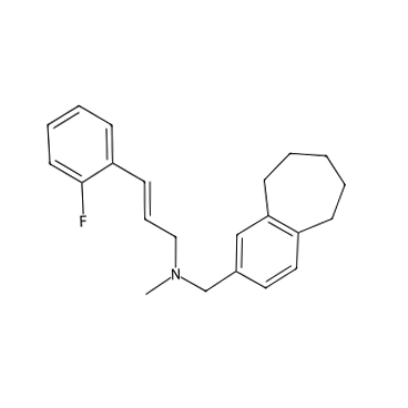 CN(C/C=C/c1ccccc1F)Cc1ccc2c(c1)CCCCC2